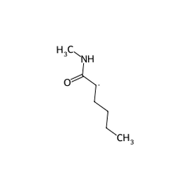 CCCC[CH]C(=O)NC